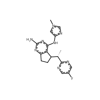 C[C@H](c1ncc(F)cn1)C1CCc2nc(N)nc(Nc3cn(C)cn3)c21